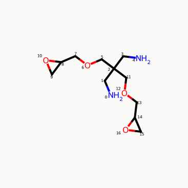 NCC(CN)(COCC1CO1)COCC1CO1